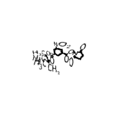 CC1(C)OB(c2cc(C(=O)ON3C(=O)CCC3=O)cc([N+](=O)[O-])c2)OC1(C)C